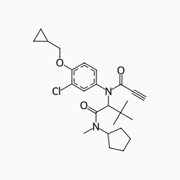 C#CC(=O)N(c1ccc(OCC2CC2)c(Cl)c1)C(C(=O)N(C)C1CCCC1)C(C)(C)C